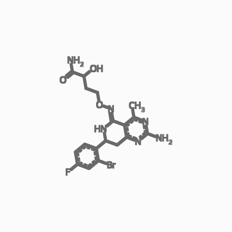 Cc1nc(N)nc2c1C(=NOCCC(O)C(N)=O)NC(c1ccc(F)cc1Br)C2